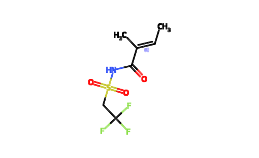 C/C=C(\C)C(=O)NS(=O)(=O)CC(F)(F)F